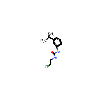 CC(C)c1cccc(NC(=O)NCCCl)c1